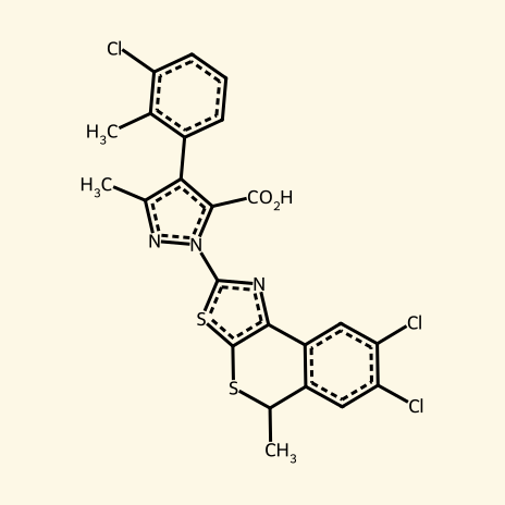 Cc1nn(-c2nc3c(s2)SC(C)c2cc(Cl)c(Cl)cc2-3)c(C(=O)O)c1-c1cccc(Cl)c1C